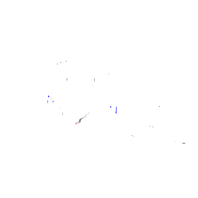 CC1(C)c2ccccc2-c2ccc(N(c3ccccc3)c3cccc(-c4ccccc4)c3-c3cccc4c3c3ccccc3n4-c3ccccc3)cc21